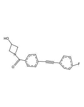 O=C(c1ccc(C#Cc2ccc(F)cc2)cc1)N1CC(O)C1